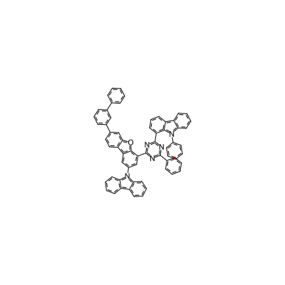 c1ccc(-c2cccc(-c3ccc4c(c3)oc3c(-c5nc(-c6ccccc6)nc(-c6cccc7c8ccccc8n(-c8ccccc8)c67)n5)cc(-n5c6ccccc6c6ccccc65)cc34)c2)cc1